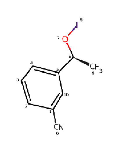 N#Cc1cccc([C@@H](OI)C(F)(F)F)c1